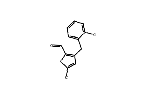 O=Cc1sc(Cl)cc1Cc1ccccc1Cl